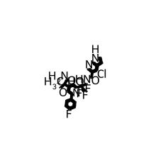 C[C@]1(C(N)=O)COc2c1cc(C(O)(CNC(=O)c1cnc3[nH]ccc3c1Cl)C(F)(F)F)nc2-c1ccc(F)cc1